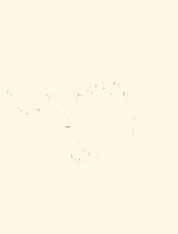 CO[C@@H]1C[C@H](C[C@@H](C)[C@@H]2CC(=O)[C@H](C)/C=C(\C)[C@@H](O)[C@@H](OC)C(=O)[C@H](C)C[C@H](C)/C=C/C=C/C=C(\C)C(OCCOC3COC3)C[C@@H]3CC[C@@H](C)[C@@](O)(O3)C(=O)C(=O)N3CCCC[C@H]3C(=O)O2)CC[C@H]1OC(=O)N(C)CCN1CCOCC1